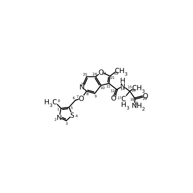 Cc1ncsc1COc1cc2c(C(=O)NC(C)(C)C(N)=O)c(C)oc2cn1